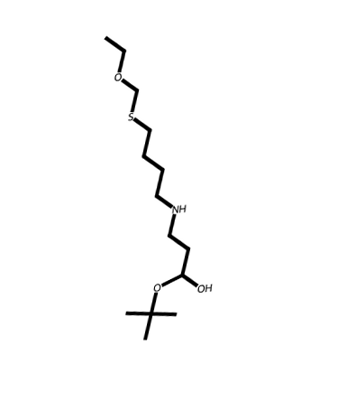 CCOCSCCCCNCCC(O)OC(C)(C)C